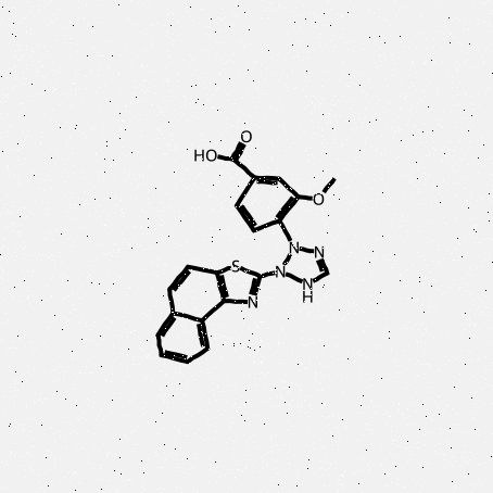 COc1cc(C(=O)O)ccc1N1N=CNN1c1nc2c(ccc3ccccc32)s1